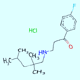 CC(C)CC(C)(C)CNCCC(=O)c1ccc(F)cc1.Cl